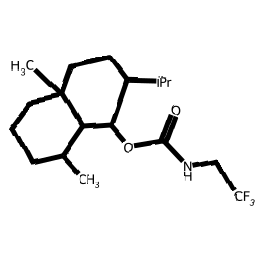 CC(C)C1CCC2(C)CCCC(C)C2C1OC(=O)NCC(F)(F)F